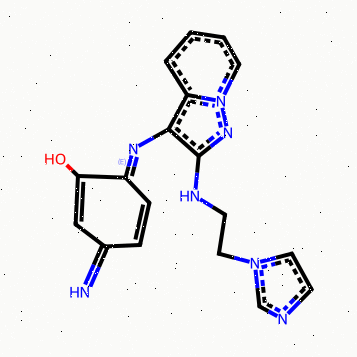 N=C1C=C/C(=N\c2c(NCCn3ccnc3)nn3ccccc23)C(O)=C1